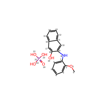 COc1ccccc1Nc1cc2ccccc2cc1O.O=P(O)(O)O